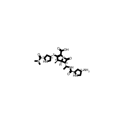 CC(NC(=O)[C@H]1C[C@H](N)CN1)[C@H]1C(=O)N2C(C(=O)O)=C(S[C@@H]3CN[C@H](C(=O)N(C)C)C3)[C@H](C)[C@H]12